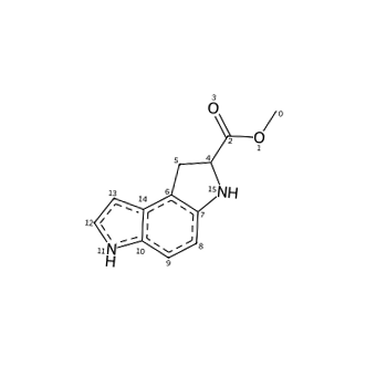 COC(=O)C1Cc2c(ccc3[nH]ccc23)N1